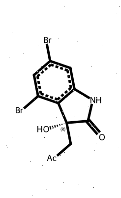 CC(=O)C[C@]1(O)C(=O)Nc2cc(Br)cc(Br)c21